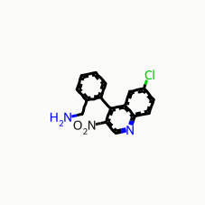 NCc1ccccc1-c1c([N+](=O)[O-])cnc2ccc(Cl)cc12